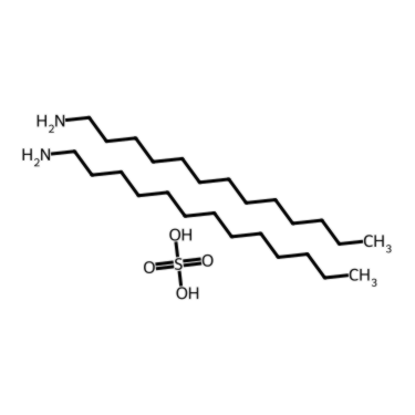 CCCCCCCCCCCCCN.CCCCCCCCCCCCCN.O=S(=O)(O)O